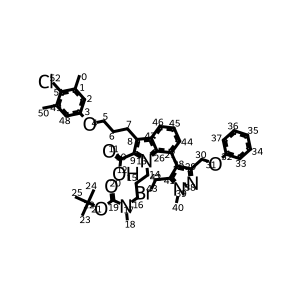 Cc1cc(OCCCc2c(C(=O)O)n(CCCN(C)C(=O)OC(C)(C)C)c3c(-c4c(COc5ccccc5)nn(C)c4CBr)cccc23)cc(C)c1Cl